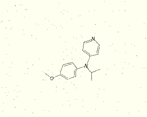 COc1ccc(N(c2ccncc2)C(C)C)cc1